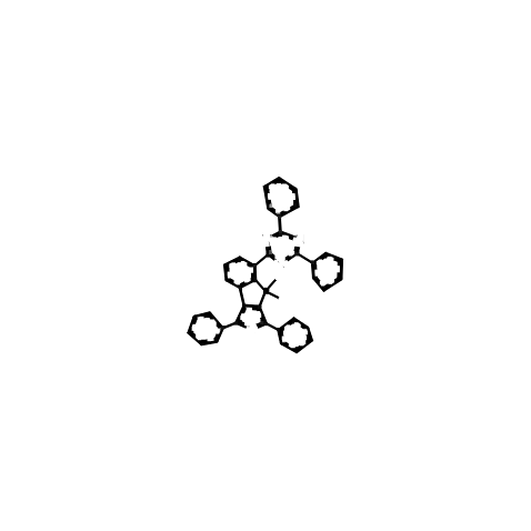 CC1(C)c2c(-c3nc(-c4ccccc4)nc(-c4ccccc4)n3)cccc2-c2c(-c3ccccc3)sc(-c3ccccc3)c21